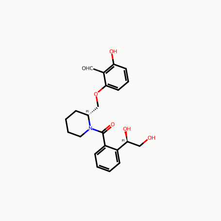 O=Cc1c(O)cccc1OC[C@H]1CCCCN1C(=O)c1ccccc1[C@@H](O)CO